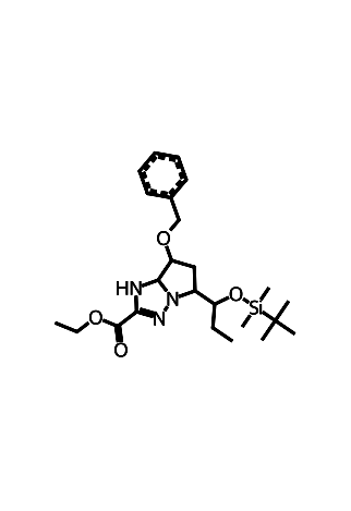 CCOC(=O)C1=NN2C(C(CC)O[Si](C)(C)C(C)(C)C)CC(OCc3ccccc3)C2N1